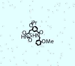 COc1ccccc1CNC(=O)c1ccc(OC(C)C)c(CC2SC(=O)NC2=O)c1